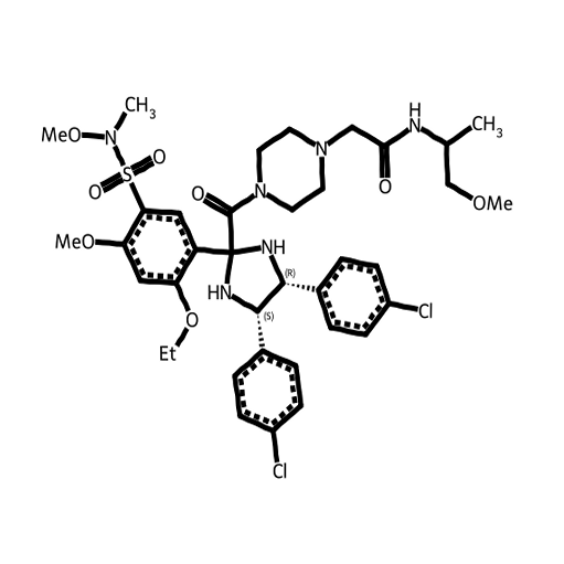 CCOc1cc(OC)c(S(=O)(=O)N(C)OC)cc1C1(C(=O)N2CCN(CC(=O)NC(C)COC)CC2)N[C@H](c2ccc(Cl)cc2)[C@H](c2ccc(Cl)cc2)N1